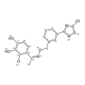 CCc1nc(-c2cccc(CON=C(C)c3ccc(O)c(O)c3Cl)c2)no1